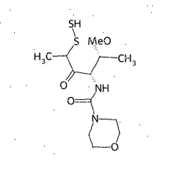 CO[C@H](C)[C@H](NC(=O)N1CCOCC1)C(=O)C(C)SS